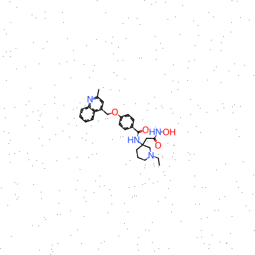 CCN1CCCC(CC(=O)NO)(NC(=O)c2ccc(OCc3cc(C)nc4ccccc34)cc2)C1